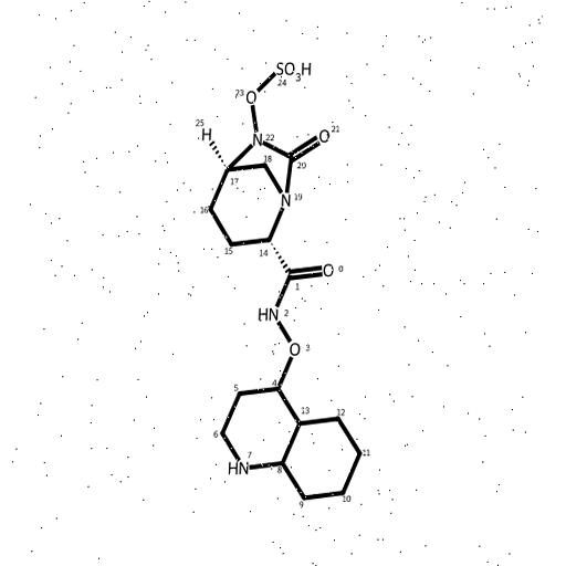 O=C(NOC1CCNC2CCCCC21)[C@@H]1CC[C@@H]2CN1C(=O)N2OS(=O)(=O)O